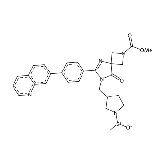 COC(=O)N1CC2(C1)N=C(c1ccc(-c3ccc4cccnc4c3)cc1)N(CC1CCN([S+](C)[O-])C1)C2=O